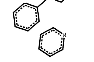 C=CCc1ccccc1.c1ccncc1